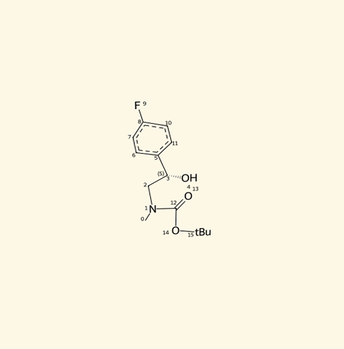 CN(C[C@@H](O)c1ccc(F)cc1)C(=O)OC(C)(C)C